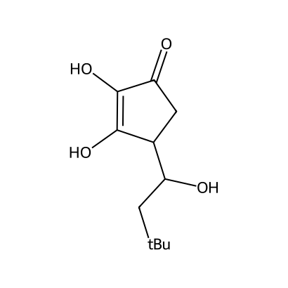 CC(C)(C)CC(O)C1CC(=O)C(O)=C1O